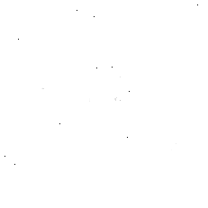 CCCCC[PH](=O)c1ccc2c(c1)nc(Cc1ccc(C#N)cc1)n2C